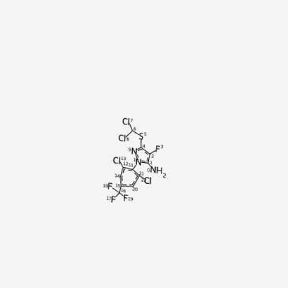 Nc1c(F)c(SC(Cl)Cl)nn1-c1c(Cl)cc(C(F)(F)F)cc1Cl